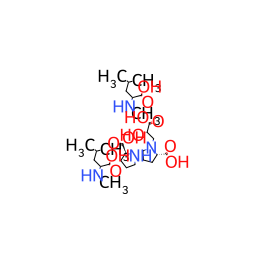 CNC(CC(C)C)C(=O)O.CNC(CC(C)C)C(=O)O.O=C(O)[C@@H](O)CN1CCC[C@H]1C(=O)O.O=C(O)[C@@H]1CCCN1